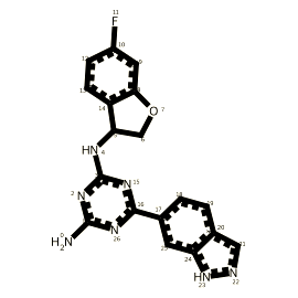 Nc1nc(NC2COc3cc(F)ccc32)nc(-c2ccc3cn[nH]c3c2)n1